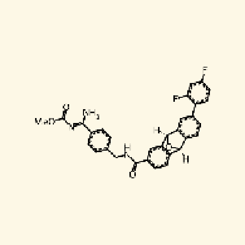 COC(=O)N=C(N)c1ccc(CNC(=O)c2ccc3c(c2)[C@@H]2O[C@H]3c3ccc(-c4ccc(F)cc4F)cc32)cc1